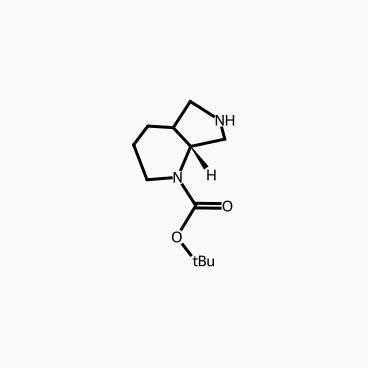 CC(C)(C)OC(=O)N1CCCC2CNC[C@@H]21